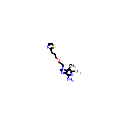 Cc1nc(N)c2ncn(CCOCCCc3nccs3)c2c1C